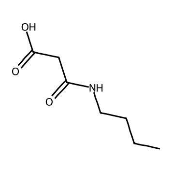 CCCCNC(=O)CC(=O)O